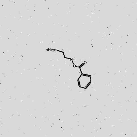 CCCCCCCCCNOC(=O)c1ccccc1